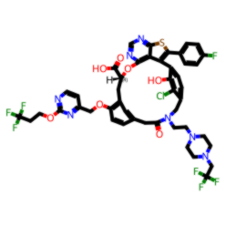 O=C(O)[C@H]1Cc2cc(ccc2OCc2ccnc(OCCC(F)(F)F)n2)CC(=O)N(CCN2CCN(CC(F)(F)F)CC2)Cc2ccc(c(O)c2Cl)-c2c(-c3ccc(F)cc3)sc3ncnc(c23)O1